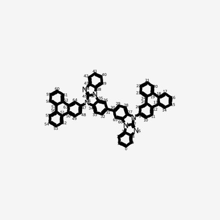 c1ccc2c(c1)nc1n(-c3ccc4c5ccccc5c5ccccc5c4c3)c3ccc(-c4ccc5c(c4)n4c6ccccc6nc4n5-c4ccc5c6ccccc6c6ccccc6c5c4)cc3n21